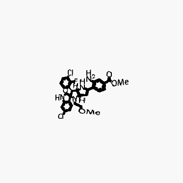 COCCN1[C@H]2CC(c3ccc(C(=O)OC)cc3N)N[C@H]2[C@H](c2cccc(Cl)c2F)[C@]12C(=O)Nc1cc(Cl)ccc12